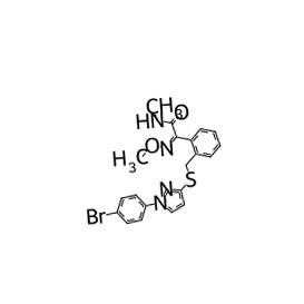 CNC(=O)C(=NOC)c1ccccc1CSc1ccn(-c2ccc(Br)cc2)n1